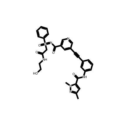 Cc1cc(C(=O)Nc2cccc(C#Cc3cncc(C(=O)N=S(=O)(CC(=O)NCCO)c4ccccc4)c3)c2)n(C)n1